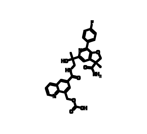 CC(O)(CNC(=O)c1cc(COC(=O)O)c2ncccc2c1)c1cc2c(c(-c3ccc(F)cc3)n1)OC[C@]2(C)C(N)=O